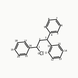 ClC(CC(c1ccccc1)c1ccccc1)c1ccccc1